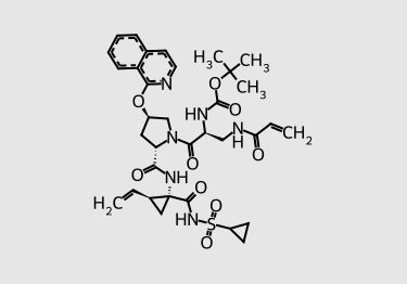 C=CC(=O)NC[C@H](NC(=O)OC(C)(C)C)C(=O)N1C[C@H](Oc2nccc3ccccc23)C[C@H]1C(=O)N[C@]1(C(=O)NS(=O)(=O)C2CC2)C[C@H]1C=C